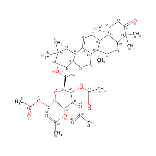 CC(=O)OCC1O[C@@H](C(O)C[C@@]23CCC4C(=CCC5[C@@]4(C)CCC4C(C)(C)C(=O)CC[C@@]45C)C2CC(C)(C)CC3)C(OC(C)=O)C(OC(C)=O)[C@@H]1OC(C)=O